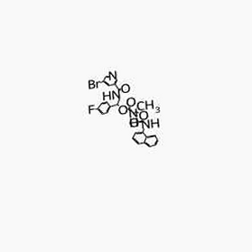 CC(NC(=O)OC(CNC(=O)c1cncc(Br)c1)c1ccc(F)cc1)OC(=O)Nc1cccc2ccccc12